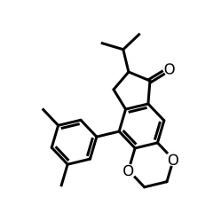 Cc1cc(C)cc(-c2c3c(cc4c2OCCO4)C(=O)C(C(C)C)C3)c1